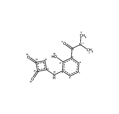 CN(C)C(=O)c1cccc(Nc2cc(=O)c2=O)c1O